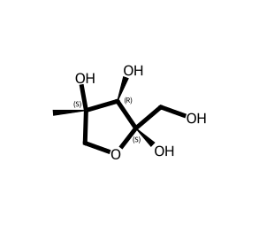 C[C@]1(O)CO[C@@](O)(CO)[C@@H]1O